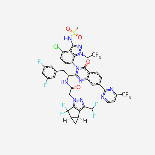 CS(=O)(=O)Nc1nn(CC(F)(F)F)c2c(-n3c([C@H](Cc4cc(F)cc(F)c4)NC(=O)Cn4nc(C(F)F)c5c4C(F)(F)[C@@H]4C[C@H]54)nc4cc(-c5nccc(C(F)(F)F)n5)ccc4c3=O)ccc(Cl)c12